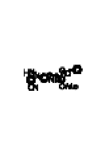 COC1CC(Cc2cc3cc(N4CNc5ccc(C#N)cc54)ccc3[nH]2)N(C(=O)OCc2ccccc2)C1